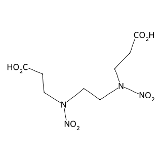 O=C(O)CCN(CCN(CCC(=O)O)[N+](=O)[O-])[N+](=O)[O-]